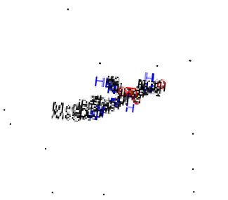 COc1ccc(CN2CCN(C3CC4(CCN(c5ccc(C(=O)NS(=O)(=O)c6ccc(NCC7CCOCC7)c([N+](=O)[O-])c6)c(Oc6cnc7[nH]ccc7c6)c5)CC4)C3)[C@H](c3ccccc3C(C)C)C2)cc1OC